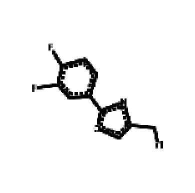 Fc1ccc(-c2nc(CCl)co2)cc1F